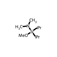 CO[Si](C(C)C)(C(C)C)N(C)C